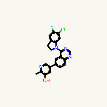 Cc1ncc(-c2ccc3ncnc(N4CCc5cc(F)c(Cl)cc54)c3c2)cc1O